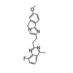 COc1ccc2c(c1)Cn1cc(CCc3nc(C)c4cccc(F)c4n3)nc1-2